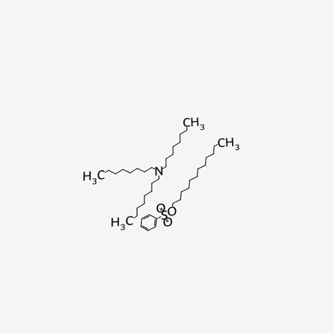 CCCCCCCCCCCCOS(=O)(=O)c1ccccc1.CCCCCCCCN(CCCCCCCC)CCCCCCCC